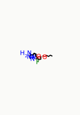 CCCCOC[C@@H]1C[C@@H](F)C(C)(c2ccc3c(N)ncnn23)O1